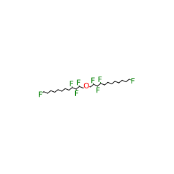 FCCCCCCCCC(F)C(F)C(F)COCC(F)C(F)C(F)CCCCCCCCF